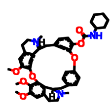 COc1cc2c3cc1Oc1c(OC)c(OC)cc4c1[C@H](Cc1ccc(cc1)Oc1cc(ccc1OC(=O)NC1CCCCC1)C[C@H]3N(C)CC2)N(C)CC4